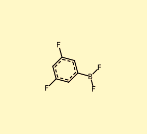 FB(F)c1cc(F)cc(F)c1